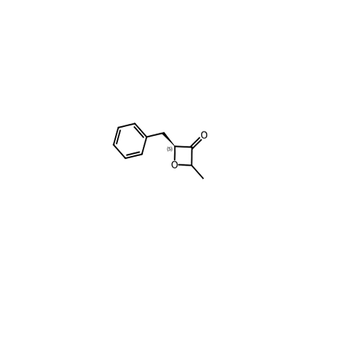 CC1O[C@@H](Cc2ccccc2)C1=O